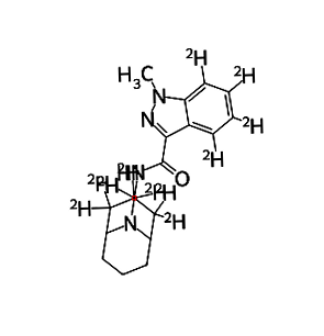 [2H]c1c([2H])c([2H])c2c(c(C(=O)NC3C([2H])([2H])C4CCCC(N4C([2H])([2H])[2H])C3([2H])[2H])nn2C)c1[2H]